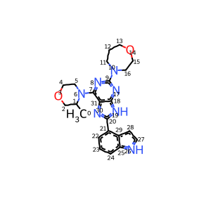 CC1COCCN1c1nc(N2CCCOCC2)nc2[nH]c(-c3cccc4[nH]ccc34)nc12